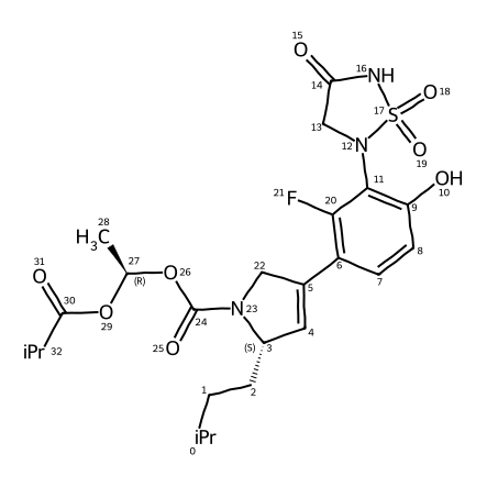 CC(C)CC[C@H]1C=C(c2ccc(O)c(N3CC(=O)NS3(=O)=O)c2F)CN1C(=O)O[C@H](C)OC(=O)C(C)C